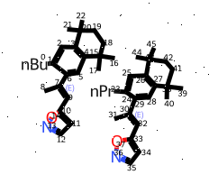 CCCCc1cc2c(cc1/C(C)=C/c1ccno1)C(C)(C)CCC2(C)C.CCCc1cc2c(cc1/C(C)=C/c1ccno1)C(C)(C)CCC2(C)C